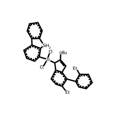 CCCCC1=Cc2c(ccc(CC)c2-c2ccccc2CC)[CH]1[Zr]([Cl])([Cl])[c]1cccc2c1[SiH2]c1ccccc1-2